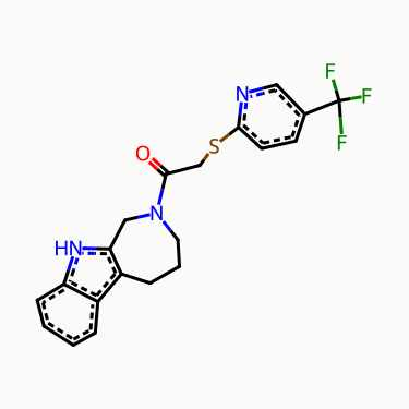 O=C(CSc1ccc(C(F)(F)F)cn1)N1CCCc2c([nH]c3ccccc23)C1